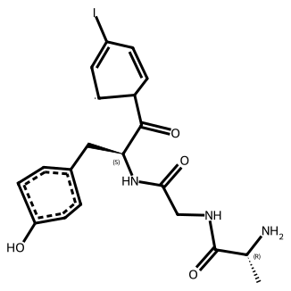 C[C@@H](N)C(=O)NCC(=O)N[C@@H](Cc1ccc(O)cc1)C(=O)C1[CH]C=C(I)C=C1